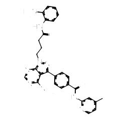 Cc1ccnc(NC(=O)c2ccc(-c3nn(CCCC(=O)Nc4ccccc4N)c4ncnc(N)c34)cc2)c1